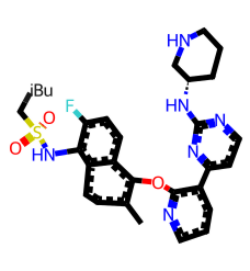 CCC(C)CS(=O)(=O)Nc1c(F)ccc2c(Oc3ncccc3-c3ccnc(N[C@H]4CCCNC4)n3)c(C)ccc12